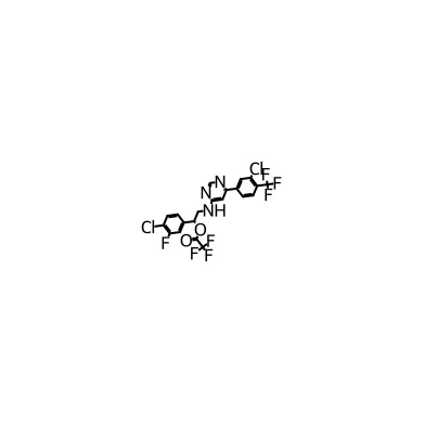 O=C(OC(CNc1cc(-c2ccc(C(F)(F)F)c(Cl)c2)ncn1)c1ccc(Cl)c(F)c1)C(F)(F)F